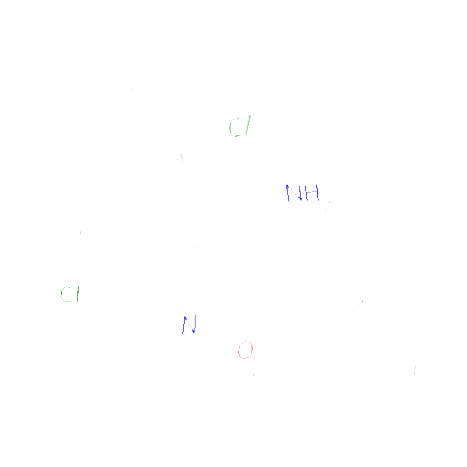 Nc1c(-c2c(Cl)cccc2Cl)noc1C1CC1